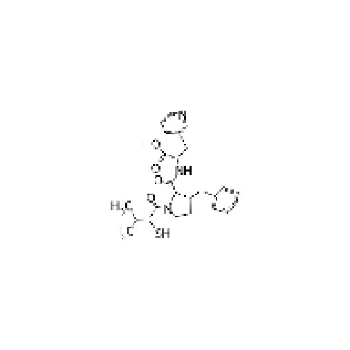 CC(C)C(S)C(=O)N1CCC(Cc2ccccc2)C1C(=O)NC(Cc1cccnc1)C(=O)O